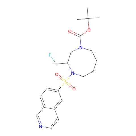 CC(C)(C)OC(=O)N1CCCCN(S(=O)(=O)c2ccc3cnccc3c2)C(CF)C1